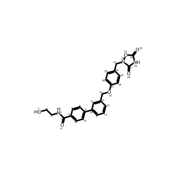 O=C(NCCO)c1ccc(-c2cccc(COc3ccc(Cn4oc(=O)[nH]c4=O)cc3)c2)cc1